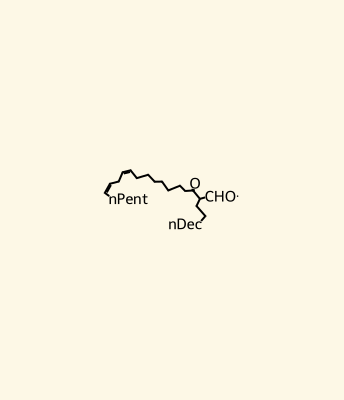 CCCCC/C=C\C/C=C\CCCCCCCC(=O)C([C]=O)CCCCCCCCCCCC